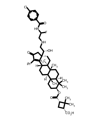 CC(C)C1=C2[C@H]3CC[C@@H]4[C@@]5(C)CC[C@H](OC(=O)[C@H]6C[C@@H](C(=O)O)C6(C)C)C(C)(C)[C@@H]5CC[C@@]4(C)[C@]3(C)CC[C@@]2([C@@H](O)CNCC(F)NC(=O)c2ccc(Cl)cc2)CC1=O